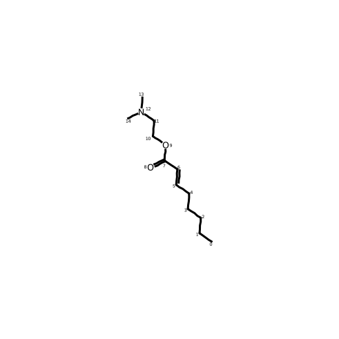 CCCCCC=CC(=O)OCCN(C)C